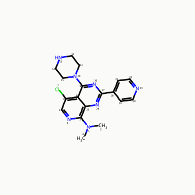 CN(C)c1ncc(Cl)c2c(N3CCNCC3)nc(-c3ccncc3)nc12